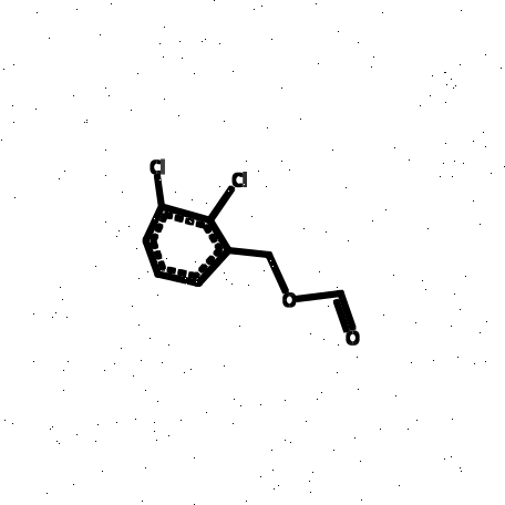 O=COCc1cccc(Cl)c1Cl